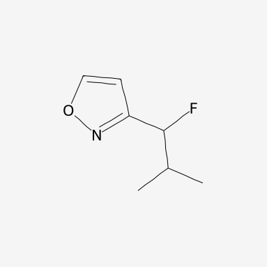 CC(C)C(F)c1ccon1